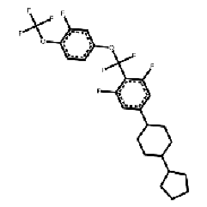 Fc1cc(OC(F)(F)c2c(F)cc(C3CCC(C4CCCC4)CC3)cc2F)ccc1OC(F)(F)F